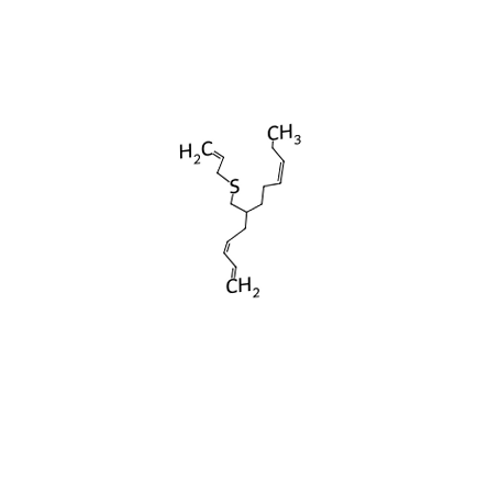 C=C/C=C\CC(CC/C=C\CC)CSCC=C